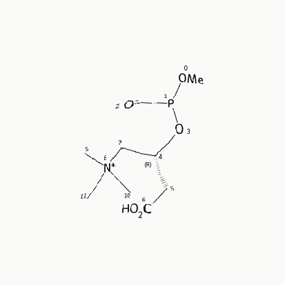 COP([O-])O[C@H](CC(=O)O)C[N+](C)(C)C